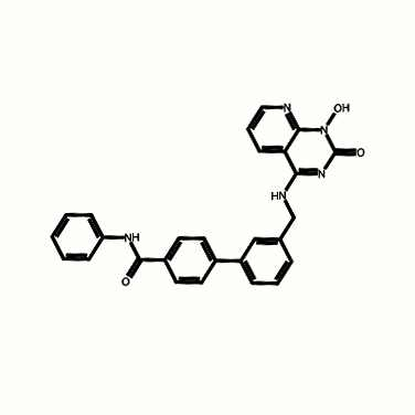 O=C(Nc1ccccc1)c1ccc(-c2cccc(CNc3nc(=O)n(O)c4ncccc34)c2)cc1